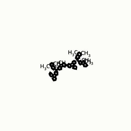 Cc1cc(C)c2ccc(N(c3ccc4c(c3)C(C)(C)c3ccccc3-4)c3ccc4c(c3)C3(CC5CCC3C5)c3ccc(-c5ccc6c(c5)-c5ccc(N(c7ccc8c(c7)C7(CC9CCC7C9)c7ccccc7-8)c7ccc8c(C)ccc(C)c8c7)cc5C6(C)C)cc3-4)cc2c1